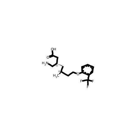 C[C@H](CCOc1ccccc1C(F)(F)F)C[C@H](CN)CC(=O)O